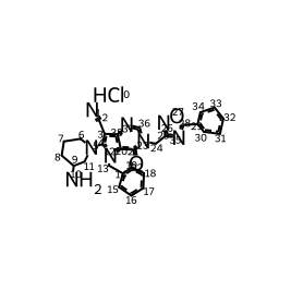 Cl.N#Cc1c(N2CCCC(N)C2)n(Cc2ccccc2)c2c(=O)n(Cc3noc(-c4ccccc4)n3)cnc12